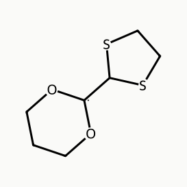 C1CO[C](C2SCCS2)OC1